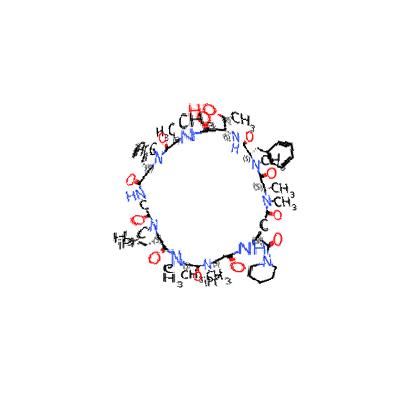 CC(C)C[C@H]1C(=O)N(C)[C@@H](C)C(=O)N(C)[C@@H](CC(C)C)C(=O)N[C@H](C(=O)N2CCCCC2)CC(=O)N(C)[C@@H](C)C(=O)N(C)[C@@H](Cc2ccccc2)C(=O)N[C@@H]([C@@H](C)O)C(=O)N(C)[C@@H](C)C(=O)N(C)[C@@H](CC(C)C)C(=O)NCC(=O)N1C